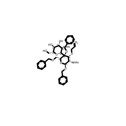 C=CCO[C@@H]1[C@H](NC(C)=O)[C@@H](OCc2ccccc2)O[C@H](COCc2ccccc2)[C@]1(OCc1ccccc1)[C@@H]1O[C@H](CO)[C@@H](O)[C@H](O)[C@@H]1NC(C)=O